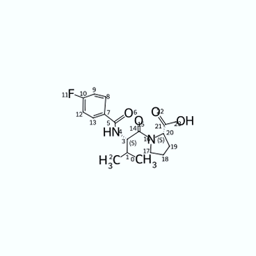 CC(C)[C@H](NC(=O)c1ccc(F)cc1)C(=O)N1CCC[C@H]1C(=O)O